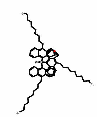 CCCCCCCCCCc1c2ccccc2c([Si](O)(c2c3ccccc3c(CCCCCCCCCC)c3ccccc23)c2c3ccccc3c(CCCCCCCCCC)c3ccccc23)c2ccccc12